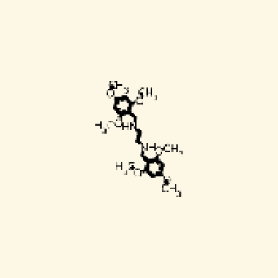 COc1cc(OC)c(CNCCNCc2c(OC)cc(OC)cc2OC)c(OC)c1